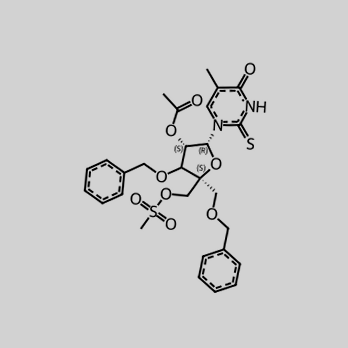 CC(=O)O[C@H]1C(OCc2ccccc2)[C@](COCc2ccccc2)(COS(C)(=O)=O)O[C@H]1n1cc(C)c(=O)[nH]c1=S